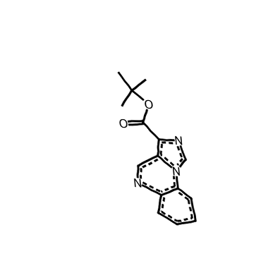 CC(C)(C)OC(=O)c1ncn2c1cnc1ccccc12